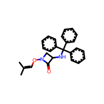 CC(C)=CON1CC(NC(c2ccccc2)(c2ccccc2)c2ccccc2)C1=O